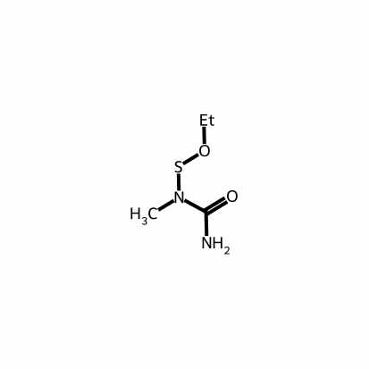 CCOSN(C)C(N)=O